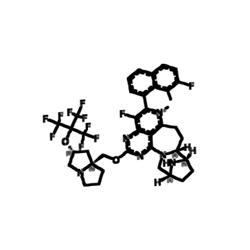 Cc1c(F)ccc2cccc(-c3c(F)c4nc(OC[C@@]56CCCN5C[C@H](OC(C(F)(F)F)(C(F)(F)F)C(F)(F)F)C6)nc5c4c([n+]3C)CC[C@@H]3[C@@H]4CC[C@H](CN53)N4)c12